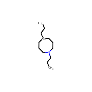 CCCN1CC[CH2][Ga]([CH2]CC)[CH2]CC1